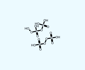 O=P(O)(O)OP(=O)(O)OO.O=S(=O)(O)OOS(=O)(=O)O